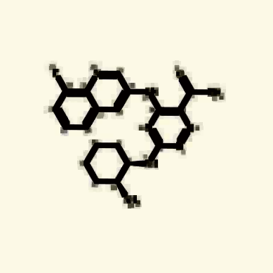 NC(=O)c1nnc(N[C@@H]2CCCC[C@@H]2N)nc1Nc1cnc2c(F)cccc2c1